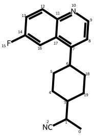 CC(C#N)C1CCC(c2ccnc3ccc(F)cc23)CC1